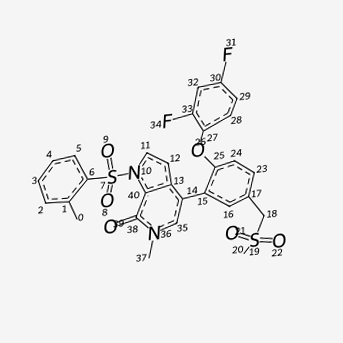 Cc1ccccc1S(=O)(=O)n1ccc2c(-c3cc(CS(C)(=O)=O)ccc3Oc3ccc(F)cc3F)cn(C)c(=O)c21